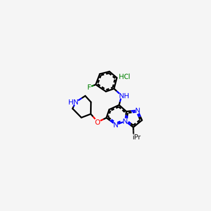 CC(C)c1cnc2c(Nc3cccc(F)c3)cc(OC3CCNCC3)nn12.Cl